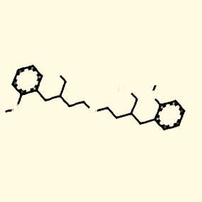 COc1ccccc1CC(CO)CCOCCC(CO)Cc1ccccc1OC